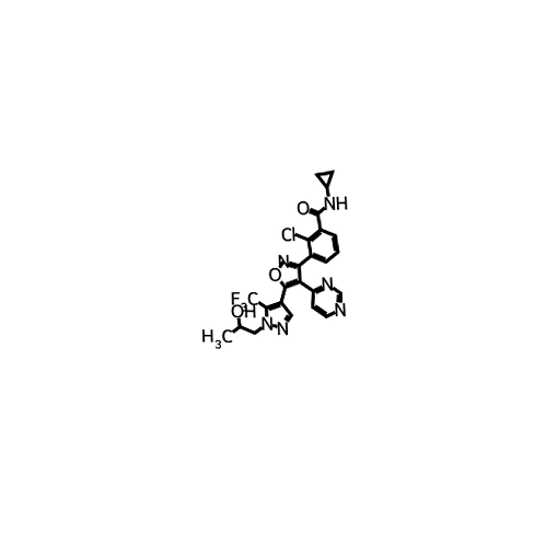 CC(O)Cn1ncc(-c2onc(-c3cccc(C(=O)NC4CC4)c3Cl)c2-c2ccncn2)c1C(F)(F)F